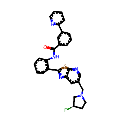 O=C(Nc1ccccc1-c1nc2cc(CN3CC[C@@H](F)C3)cnc2s1)c1cccc(-c2ccccn2)c1